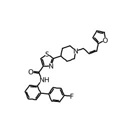 O=C(Nc1ccccc1-c1ccc(F)cc1)c1csc(C2CCN(C/C=C\c3ccco3)CC2)n1